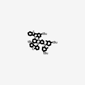 Cc1cc(C(C)(C)C)ccc1N(c1ccc2c(c1)N(c1cccc3oc4ccccc4c13)c1cc(C(C)(C)C)cc3c1B2c1cc(C(C)(C)C)cc2c4sc5ccccc5c4n-3c12)c1ccc(C(C)(C)C)cc1C